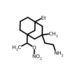 CCC12CCCC(C(C)O[N+](=O)[O-])(CC(C)(CCN)C1)C2